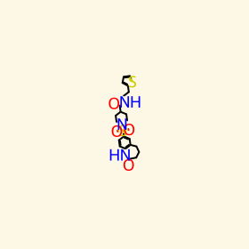 O=C1CCCc2cc(S(=O)(=O)N3CCC(C(=O)NCCc4cccs4)CC3)ccc2N1